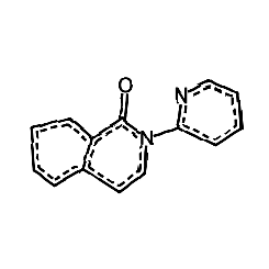 O=c1c2ccccc2ccn1-c1ccccn1